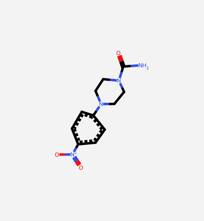 NC(=O)N1CCN(c2ccc([N+](=O)[O-])cc2)CC1